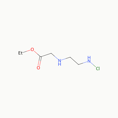 CCOC(=O)CNCCNCl